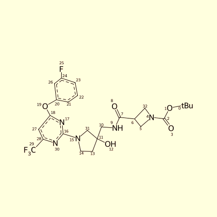 CC(C)(C)OC(=O)N1CC(C(=O)NCC2(O)CCN(c3nc(Oc4cccc(F)c4)cc(C(F)(F)F)n3)C2)C1